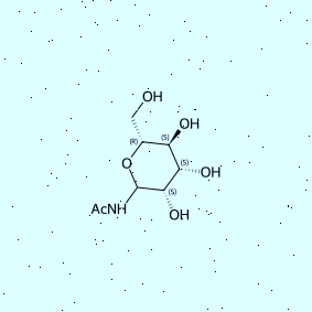 CC(=O)NC1O[C@H](CO)[C@@H](O)[C@H](O)[C@@H]1O